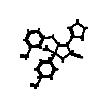 CNc1cccc(CC2=C(C3=COCO3)C(=O)OC2(O)c2ccc(OC)cc2)c1